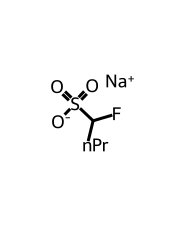 CCCC(F)S(=O)(=O)[O-].[Na+]